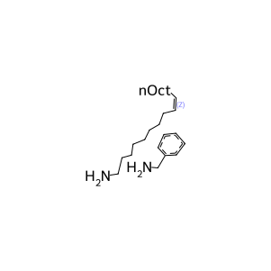 CCCCCCCC/C=C\CCCCCCCCN.NCc1ccccc1